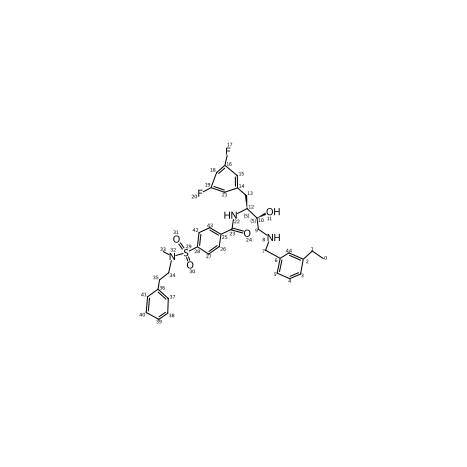 CCc1cccc(CNC[C@H](O)[C@H](Cc2cc(F)cc(F)c2)NC(=O)c2ccc(S(=O)(=O)N(C)CCc3ccccc3)cc2)c1